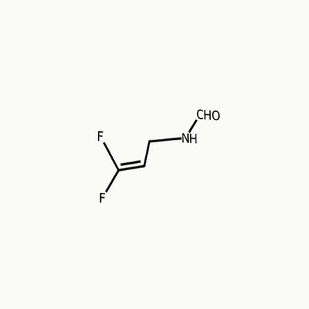 O=CNCC=C(F)F